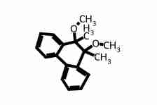 COC1(C)c2ccccc2-c2ccccc2C1(C)OC